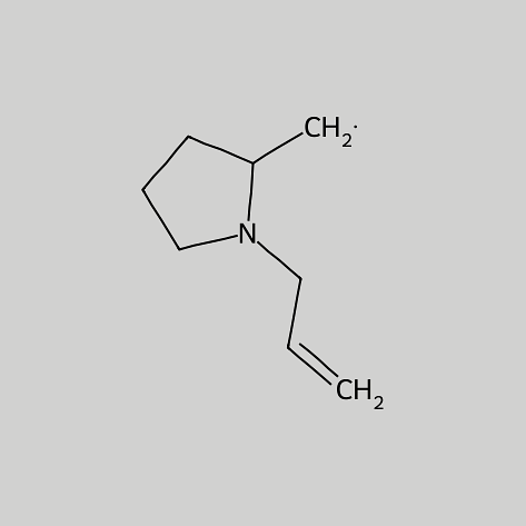 [CH2]C1CCCN1CC=C